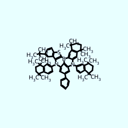 CC(C)(C)c1ccc2sc3c(c2c1)N(c1ccc2c(c1)C(C)(C)CCC2(C)C)c1cc(-c2ccccc2)cc2c1B3c1cc3c(cc1N2c1ccc2c(c1)C(C)(C)CCC2(C)C)C(C)(C)CCC3(C)C